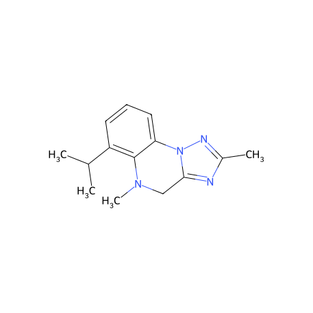 Cc1nc2n(n1)-c1cccc(C(C)C)c1N(C)C2